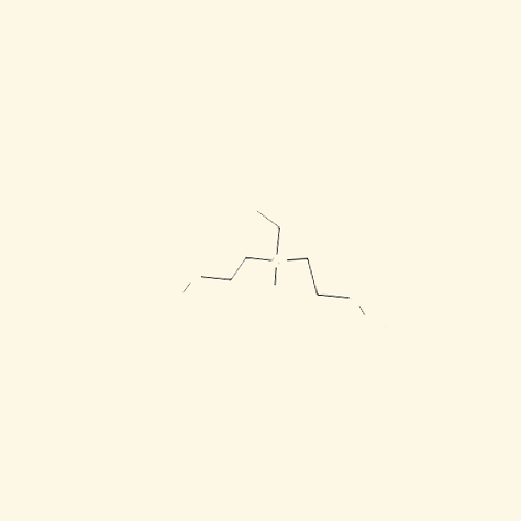 CC[N+](C)(CCOC)CCOC